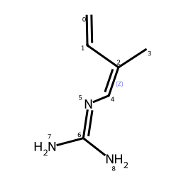 C=C/C(C)=C\N=C(N)N